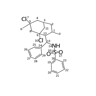 CC1CC2CC(C)(Cl)CC(Cl)(C2)C1C(NS(=O)(=O)c1ccccc1)c1ccccc1